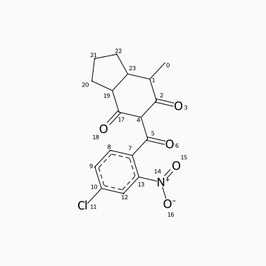 CC1C(=O)C(C(=O)c2ccc(Cl)cc2[N+](=O)[O-])C(=O)C2CCCC12